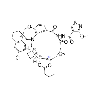 COc1nn(C)cc1C(=O)NS1(=O)=NC(=O)c2ccc3c(c2)N(C[C@@H]2CC[C@H]2[C@@H](OC(=O)CC(C)C)/C=C/C[C@H](C)C1)C[C@@]1(CCCc2cc(Cl)ccc21)CO3